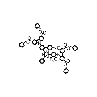 [C-]#[N+]c1ccc(-c2cc(-n3c4ccc(C(=O)OCc5ccccc5)cc4c4cc(C(=O)OCc5ccccc5)ccc43)ccc2-c2nc(-c3ccccc3)nc(-c3ccc(-n4c5ccc(C(=O)OCc6ccccc6)cc5c5cc(C(=O)OCc6ccccc6)ccc54)cc3C(F)(F)F)n2)cc1